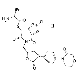 CC(C)[C@H](N)C(=O)SCC(=O)N(C[C@H]1CN(c2ccc(N3CCOCC3=O)cc2)C(=O)O1)C(=O)c1ccc(Cl)s1.Cl